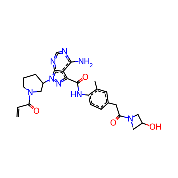 C=CC(=O)N1CCCC(n2nc(C(=O)Nc3ccc(CC(=O)N4CC(O)C4)cc3C)c3c(N)ncnc32)C1